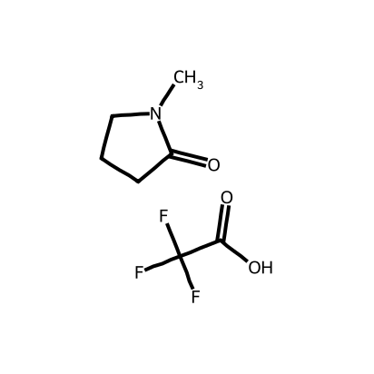 CN1CCCC1=O.O=C(O)C(F)(F)F